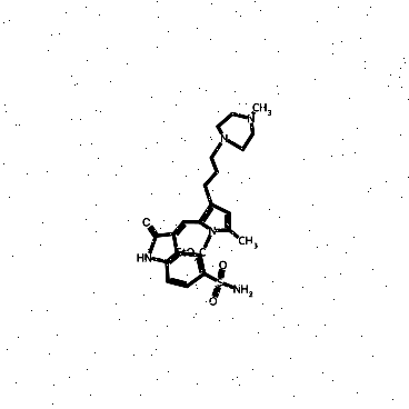 CCOC(=O)n1c(C)cc(CCCN2CCN(C)CC2)c1C=C1C(=O)Nc2ccc(S(N)(=O)=O)cc21